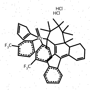 Cl.Cl.[CH2]=[Zr]([C]1=CC=CC1)([c]1cccc(C(F)(F)F)c1)([c]1cccc(C(F)(F)F)c1)[C]1(C)C2=C3Cc4ccccc4C3=C3C=CCCC3C2(C)C(C)(C)C(C)(C)C1(C)C